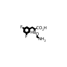 NCOB[C@@H](Cc1cc(F)cc(F)c1)C(=O)O